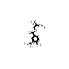 CC(C)COC(=O)c1ccc(S)c(NO)c1